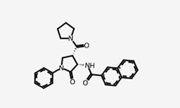 O=C(N[C@@H]1C(=O)N(c2ccccc2)C[C@@H]1C(=O)N1CCCC1)c1ccc2ccccc2c1